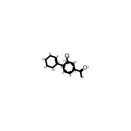 CC(=O)c1ccc(C2=CCCCC2)c(Cl)c1